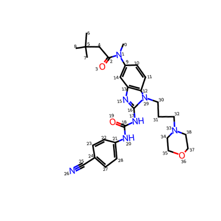 CN(C(=O)CC(C)(C)C)c1ccc2c(c1)nc(NC(=O)Nc1ccc(C#N)cc1)n2CCCN1CCOCC1